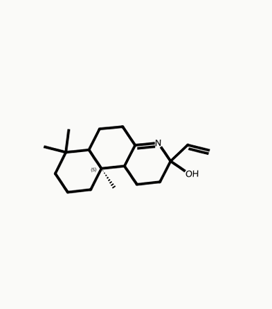 C=CC1(O)CCC2C(=N1)CCC1C(C)(C)CCC[C@]21C